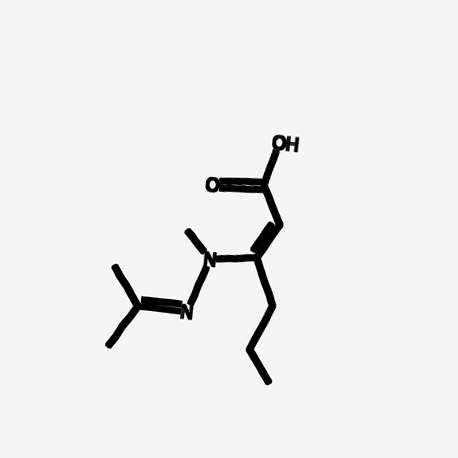 CCCC(=CC(=O)O)N(C)N=C(C)C